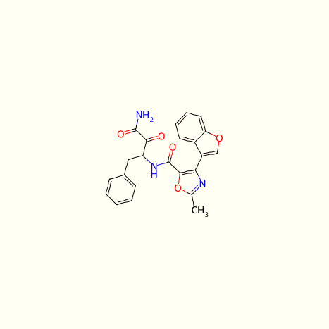 Cc1nc(-c2coc3ccccc23)c(C(=O)NC(Cc2ccccc2)C(=O)C(N)=O)o1